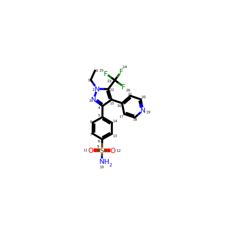 CCn1nc(-c2ccc(S(N)(=O)=O)cc2)c(-c2ccncc2)c1C(F)(F)F